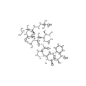 CC[C@H](C)[C@@H]([C@@H](CC(=O)N1CCC[C@H]1[C@@H](OC)[C@@H](C)C(=O)N[C@H](C)[C@@H](O)c1ccccc1)OC)N(C)C(=O)[C@@H](NC(=O)[C@H](C(C)C)N(C)C(=O)CCC[Si](C)(C)O)C(C)C